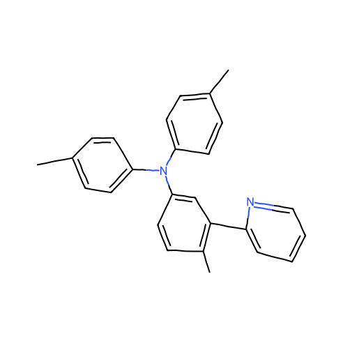 Cc1ccc(N(c2ccc(C)cc2)c2ccc(C)c(-c3ccccn3)c2)cc1